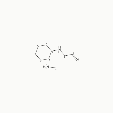 C=CCNC1CCCCC1.CN